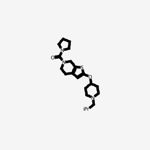 CC(C)CN1CCC(Oc2cc3c(s2)CN(C(=O)N2CCCC2)CC3)CC1